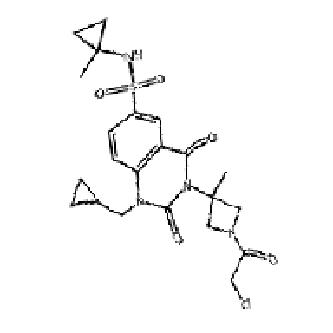 CC1(NS(=O)(=O)c2ccc3c(c2)c(=O)n(C2(C)CN(C(=O)CCl)C2)c(=O)n3CC2CC2)CC1